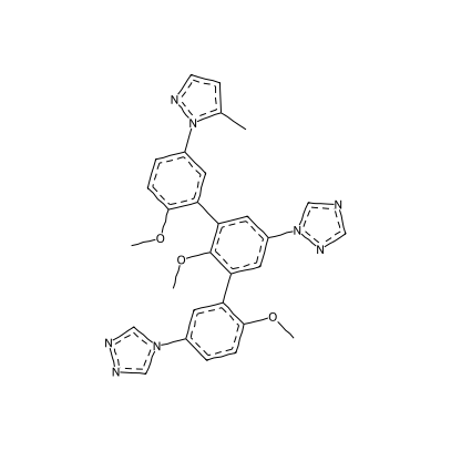 COc1ccc(-n2cnnc2)cc1-c1cc(-n2cncn2)cc(-c2cc(-n3nccc3C)ccc2OC)c1OC